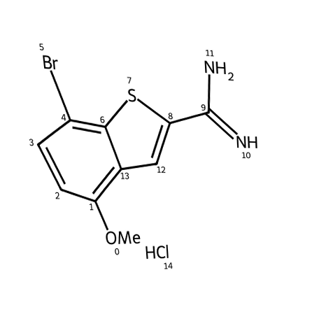 COc1ccc(Br)c2sc(C(=N)N)cc12.Cl